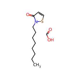 CCCCCCCCn1sccc1=O.O=CO